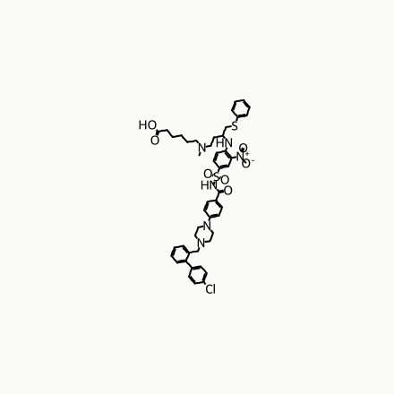 CN(CCCCCC(=O)O)CCC(CSc1ccccc1)Nc1ccc(S(=O)(=O)NC(=O)c2ccc(N3CCN(Cc4ccccc4-c4ccc(Cl)cc4)CC3)cc2)cc1[N+](=O)[O-]